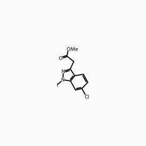 COC(=O)Cc1nn(I)c2cc(Cl)ccc12